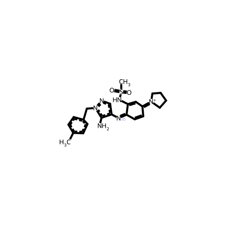 Cc1ccc(Cn2ncc(/N=C3/C=CC(=[N+]4CCCC4)C=C3NS(C)(=O)=O)c2N)cc1